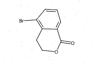 O=C1OCCc2c(Br)cccc21